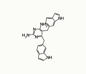 Nc1nc(N)c(Cc2ccc3cc[nH]c3c2)c(Cc2ccc3cc[nH]c3c2)n1